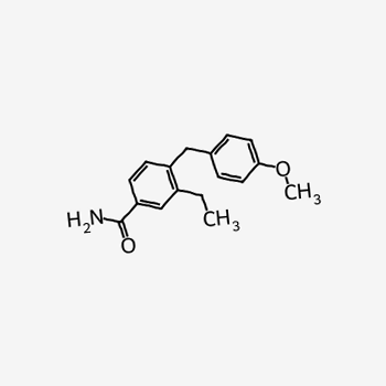 CCc1cc(C(N)=O)ccc1Cc1ccc(OC)cc1